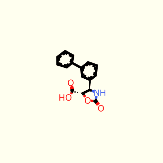 O=C1N[C@H](c2cccc(-c3ccccc3)c2)[C@@H](C(=O)O)O1